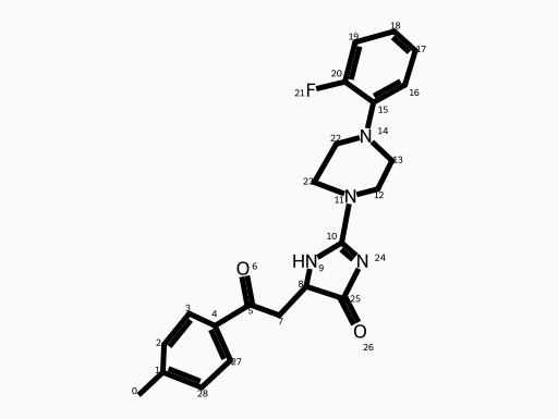 Cc1ccc(C(=O)CC2NC(N3CCN(c4ccccc4F)CC3)=NC2=O)cc1